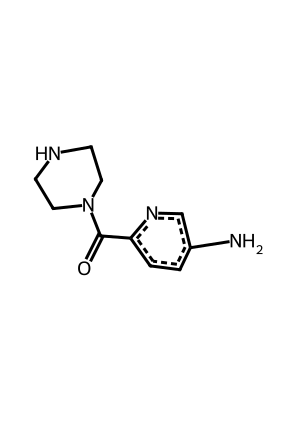 Nc1ccc(C(=O)N2CCNCC2)nc1